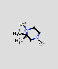 CCN1CCN(C(C)=O)CC1(C)C